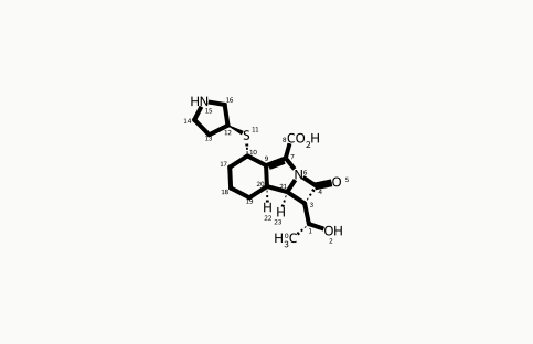 C[C@@H](O)[C@H]1C(=O)N2C(C(=O)O)=C3[C@@H](S[C@H]4CCNC4)CCC[C@@H]3[C@H]12